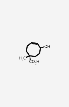 C[C@]1(C(=O)O)CC/C=C\[C@@H](O)CC1